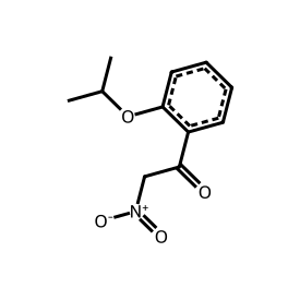 CC(C)Oc1ccccc1C(=O)C[N+](=O)[O-]